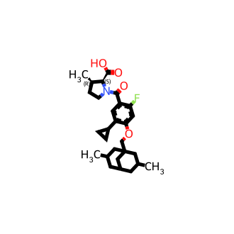 CC1CC2CC(C)CC(COc3cc(F)c(C(=O)N4CC[C@@H](C)[C@H]4C(=O)O)cc3C3CC3)(C1)C2